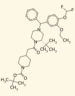 CCOc1cc(C(c2ccccc2)N2CCN(C(=O)CC3CCN(C(=O)OC(C)(C)C)CC3)[C@@H](C(C)(C)C)C2)ccc1OC(F)F